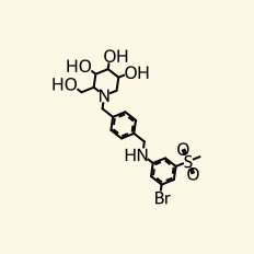 CS(=O)(=O)c1cc(Br)cc(NCc2ccc(CN3CC(O)C(O)C(O)C3CO)cc2)c1